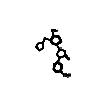 COc1ccc([C@H]2CC(=O)N(c3cccc(C(=O)O)c3)C2)cc1OC1CCCC1